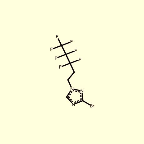 FC(F)(F)C(F)(F)C(F)(F)CCn1cnc(Br)n1